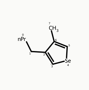 CCCCc1[c][se]cc1C